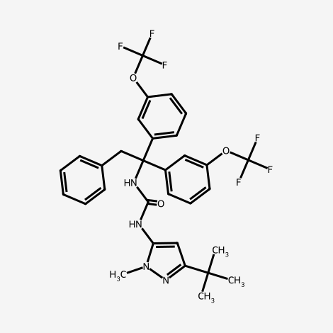 Cn1nc(C(C)(C)C)cc1NC(=O)NC(Cc1ccccc1)(c1cccc(OC(F)(F)F)c1)c1cccc(OC(F)(F)F)c1